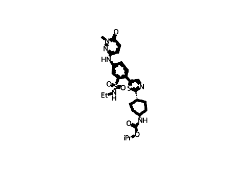 CCNS(=O)(=O)c1cc(Nc2ccc(=O)n(C)n2)ccc1-c1cnc([C@H]2CC[C@H](NC(=O)OC(C)C)CC2)s1